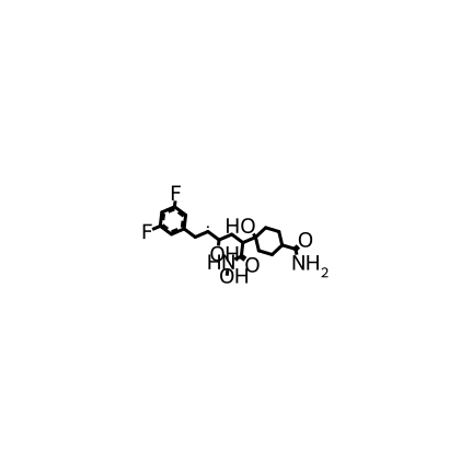 NC(=O)C1CCC(O)(C(CC(O)[CH]Cc2cc(F)cc(F)c2)C(=O)NO)CC1